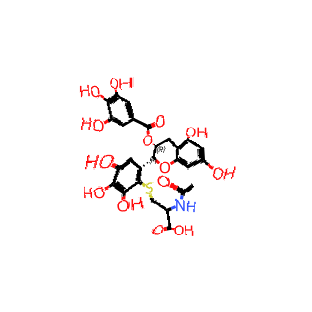 CC(=O)NC(CSc1c([C@H]2Oc3cc(O)cc(O)c3C[C@H]2OC(=O)c2cc(O)c(O)c(O)c2)cc(O)c(O)c1O)C(=O)O